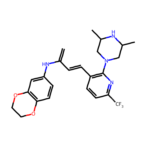 C=C(/C=C/c1ccc(C(F)(F)F)nc1N1CC(C)NC(C)C1)Nc1ccc2c(c1)OCCO2